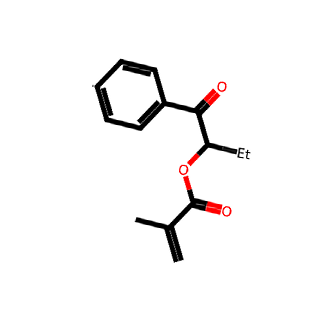 C=C(C)C(=O)OC(CC)C(=O)c1cc[c]cc1